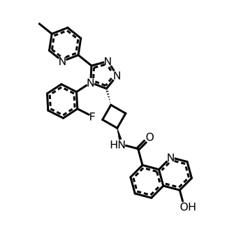 Cc1ccc(-c2nnc([C@H]3C[C@H](NC(=O)c4cccc5c(O)ccnc45)C3)n2-c2ccccc2F)nc1